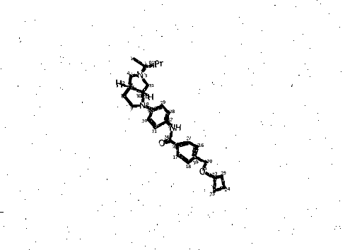 CC(C)C(C)N1C[C@H]2CCN(c3ccc(NC(=O)c4ccc(COC5CCC5)cc4)cc3)[C@H]2C1